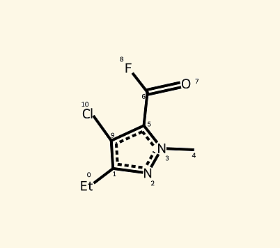 CCc1nn(C)c(C(=O)F)c1Cl